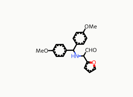 COc1ccc(C(NC(C=O)c2ccco2)c2ccc(OC)cc2)cc1